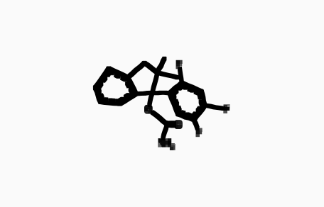 CC1(C)Cc2ccccc2C1(OC(N)=O)c1cc(F)c(F)cc1F